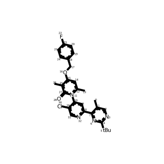 Cc1cnc(C(C)(C)C)nc1-c1cc(-n2c(C)cc(OCc3ccc(F)cc3)c(C)c2=O)c(Cl)cn1